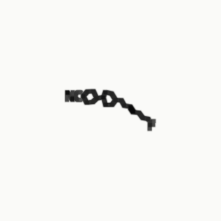 N#CC1CCC(C2CCC(CCC=CCCCF)CC2)CC1